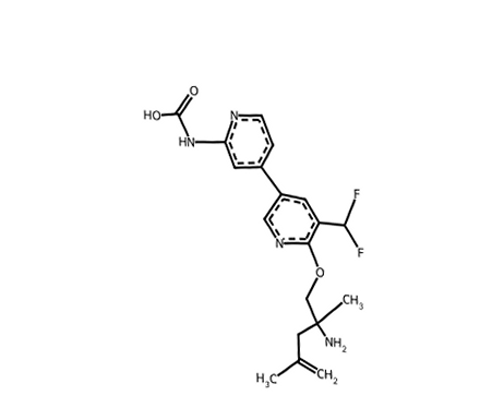 C=C(C)CC(C)(N)COc1ncc(-c2ccnc(NC(=O)O)c2)cc1C(F)F